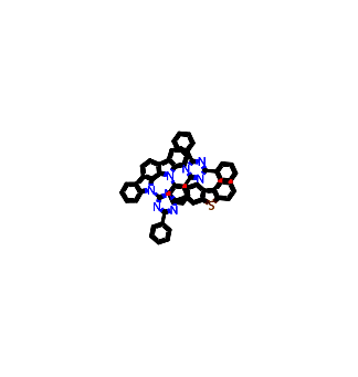 c1ccc(-c2nc(-c3ccccc3)nc(-c3ccccc3-n3c4ccccc4c4ccc5c6ccccc6n(-c6nc(-c7ccccc7)nc(-c7ccc8c(c7)sc7ccccc78)n6)c5c43)n2)cc1